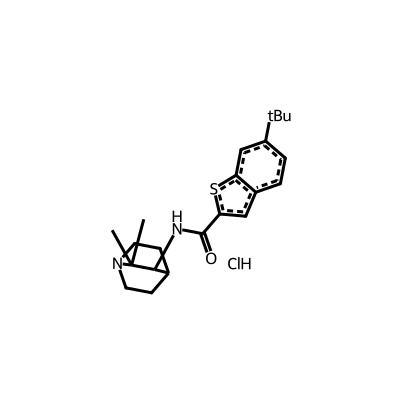 CC(C)(C)c1ccc2cc(C(=O)NC3C4CCN(CC4)C3(C)C)sc2c1.Cl